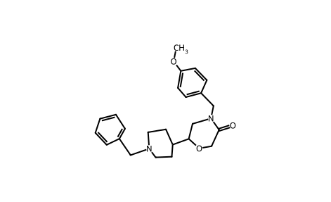 COc1ccc(CN2CC(C3CCN(Cc4ccccc4)CC3)OCC2=O)cc1